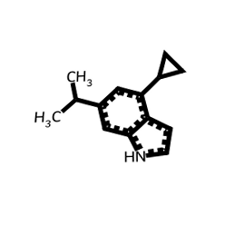 CC(C)c1cc(C2CC2)c2cc[nH]c2c1